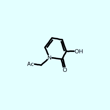 CC(=O)Cn1cccc(O)c1=O